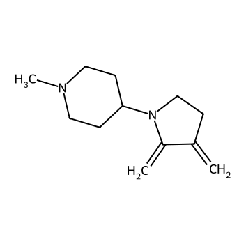 C=C1CCN(C2CCN(C)CC2)C1=C